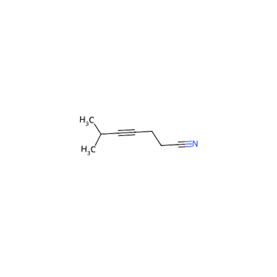 CC(C)C#CCCC#N